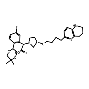 CC1(C)COC(c2ccc(F)cc2C(C(=O)O)N2CC[C@@H](OCCCCc3ccc4c(n3)CCCN4)C2)CO1